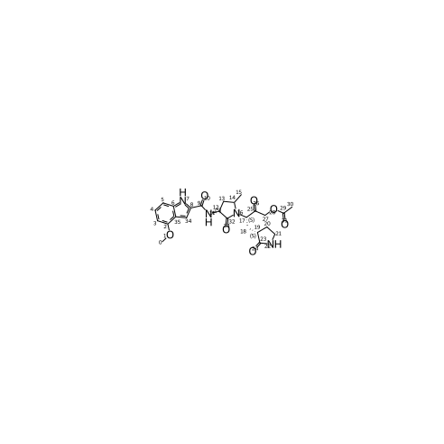 COc1cccc2[nH]c(C(=O)N[C@H]3CC(C)N([C@@H](C[C@@H]4CCNC4=O)C(=O)COC(C)=O)C3=O)cc12